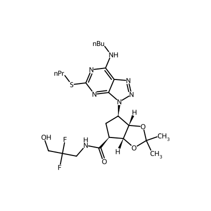 CCCCNc1nc(SCCC)nc2c1nnn2[C@@H]1C[C@H](C(=O)NCC(F)(F)CO)[C@H]2OC(C)(C)O[C@H]21